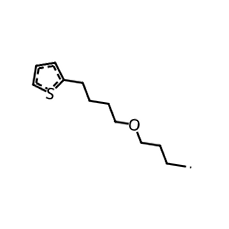 [CH2]CCCOCCCCc1cccs1